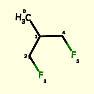 CC([CH]F)CF